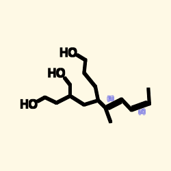 C/C=C\C=C(/C)C(CCCO)CC(CO)CCO